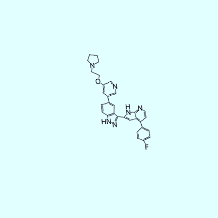 Fc1ccc(-c2ccnc3[nH]c(-c4n[nH]c5ccc(-c6cncc(OCCN7CCCC7)c6)cc45)cc23)cc1